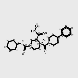 C[N@+]1(C(=O)N2CCC(c3ccccc3)CC2)CCN(C(=O)OC2CCCCC2)C[C@H]1C(=O)NO